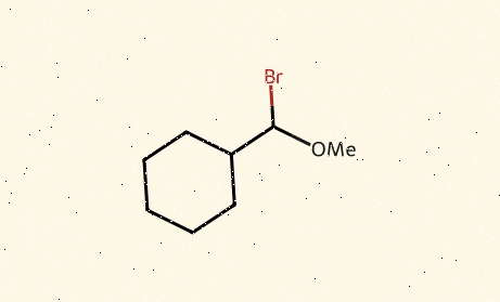 COC(Br)C1CCCCC1